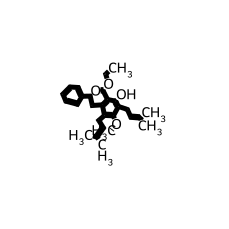 CCOC(=O)c1c(O)c(CC=C(C)C)c(OC)c(CC=C(C)C)c1CCc1ccccc1